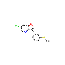 CC(C)(C)Sc1cccc(-c2coc3cc(Cl)cnc23)c1